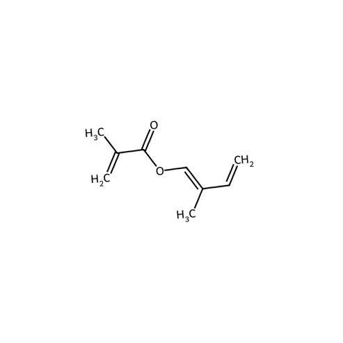 C=CC(C)=COC(=O)C(=C)C